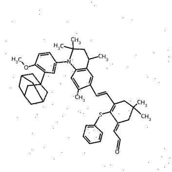 COc1ccc(N2c3cc(C)c(/C=C/C4=C(Sc5ccccc5)C(=C/C=O)/CC(C)(C)C4)cc3C(C)CC2(C)C)cc1C12CC3CC(CC(C3)C1)C2